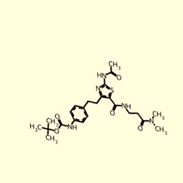 CC(=O)Nc1nc(CCc2ccc(NC(=O)OC(C)(C)C)cc2)c(C(=O)NCCC(=O)N(C)C)s1